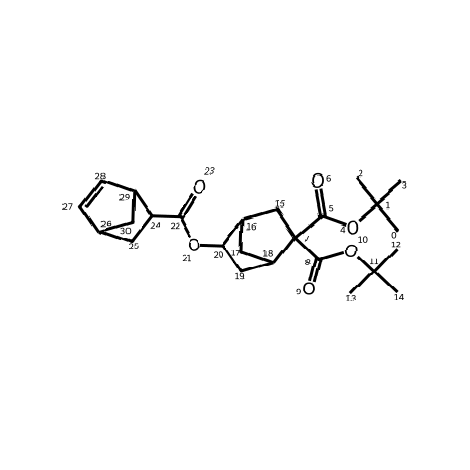 CC(C)(C)OC(=O)C1(C(=O)OC(C)(C)C)CC2CC1CC2OC(=O)C1CC2C=CC1C2